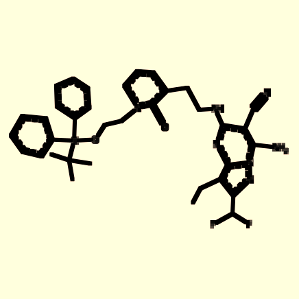 CCc1c(C(F)F)nn2c(N)c(C#N)c(NCCc3cccn(CCO[Si](c4ccccc4)(c4ccccc4)C(C)(C)C)c3=O)nc12